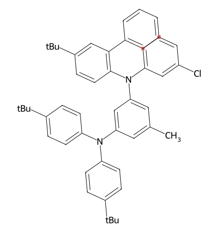 Cc1cc(N(c2ccc(C(C)(C)C)cc2)c2ccc(C(C)(C)C)cc2)cc(N(c2cccc(Cl)c2)c2ccc(C(C)(C)C)cc2-c2ccccc2)c1